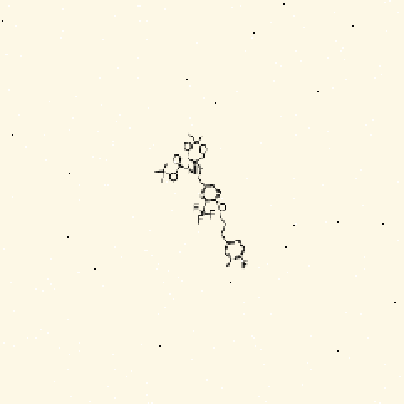 Cc1cc(CCCOc2ccc(CCC3(NC(=O)OC(C)(C)C)COC(C)(C)OC3)cc2C(F)(F)F)ccc1F